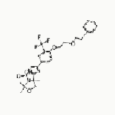 CC1(C)OCC(C)(c2ncc(-c3ccc(OCCOCCc4ccccc4)c(C(F)(F)F)c3)s2)N1C(=O)O